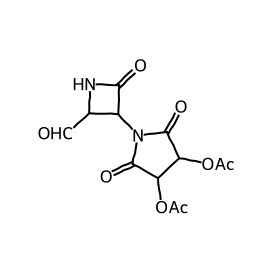 CC(=O)OC1C(=O)N(C2C(=O)NC2C=O)C(=O)C1OC(C)=O